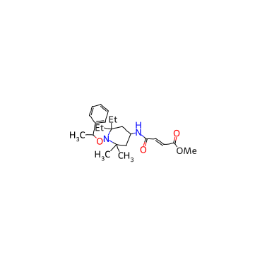 CCC1(CC)CC(NC(=O)C=CC(=O)OC)CC(C)(C)N1OC(C)c1ccccc1